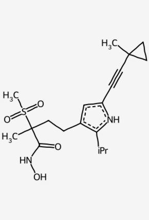 CC(C)c1[nH]c(C#CC2(C)CC2)cc1CCC(C)(C(=O)NO)S(C)(=O)=O